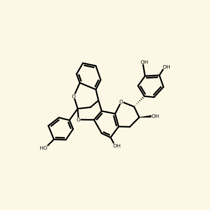 Oc1ccc(C23CC(c4ccccc4O2)c2c(cc(O)c4c2O[C@H](c2ccc(O)c(O)c2)[C@@H](O)C4)O3)cc1